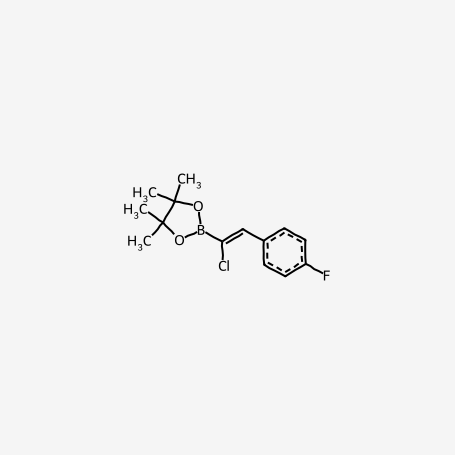 CC1(C)OB(/C(Cl)=C/c2ccc(F)cc2)OC1(C)C